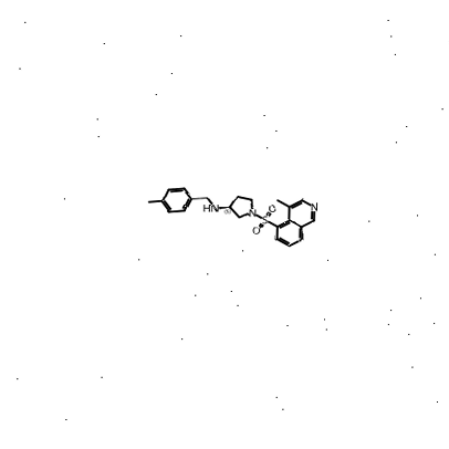 Cc1ccc(CN[C@H]2CCN(S(=O)(=O)c3cccc4cncc(C)c34)C2)cc1